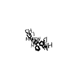 CN1CCC(NC(=O)Nc2nc(-c3ccccc3)c(-c3cc(Cl)c4[nH]ncc4c3)nc2C#N)CC1